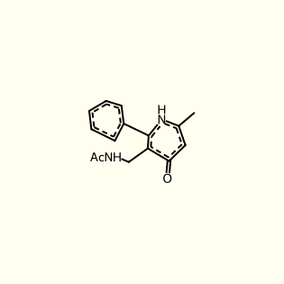 CC(=O)NCc1c(-c2ccccc2)[nH]c(C)cc1=O